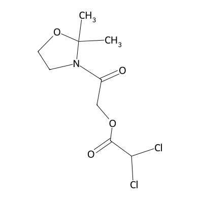 CC1(C)OCCN1C(=O)COC(=O)C(Cl)Cl